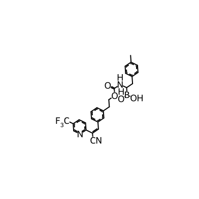 Cc1ccc(CC(NC(=O)OCCc2cccc(C=C(C#N)c3ccc(C(F)(F)F)cn3)c2)B(O)O)cc1